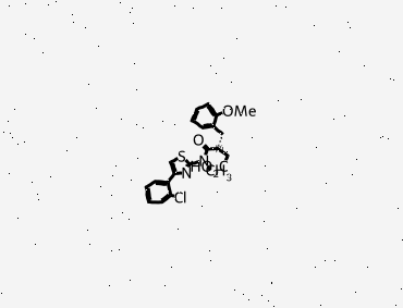 COc1ccccc1C[C@H](CC(=O)O)C(=O)N(C)c1nc(-c2ccccc2Cl)cs1